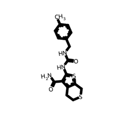 Cc1ccc(CNC(=O)Nc2sc3c(c2C(N)=O)CCSC3)cc1